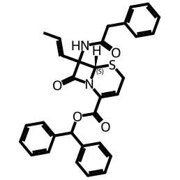 CC=CC1(NC(=O)Cc2ccccc2)C(=O)N2C(C(=O)OC(c3ccccc3)c3ccccc3)=CCS[C@H]21